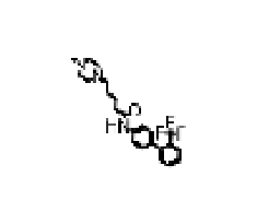 CN1CCN(CCCCC(=O)Nc2ccc(-c3ccccc3C(F)(F)F)cc2)CC1